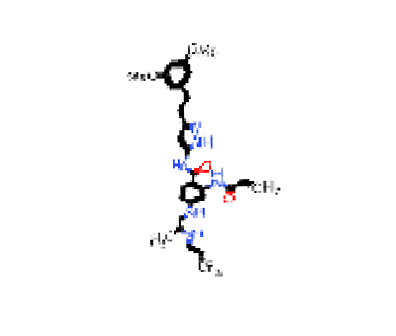 C=CC(=O)Nc1cc(NCC(C)NCCC(F)(F)F)ccc1C(=O)Nc1cc(CCc2cc(OC)cc(OC)c2)n[nH]1